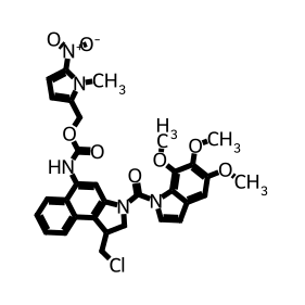 COc1cc2ccn(C(=O)N3CC(CCl)c4c3cc(NC(=O)OCc3ccc([N+](=O)[O-])n3C)c3ccccc43)c2c(OC)c1OC